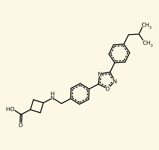 CC(C)Cc1ccc(-c2noc(-c3ccc(CNC4CC(C(=O)O)C4)cc3)n2)cc1